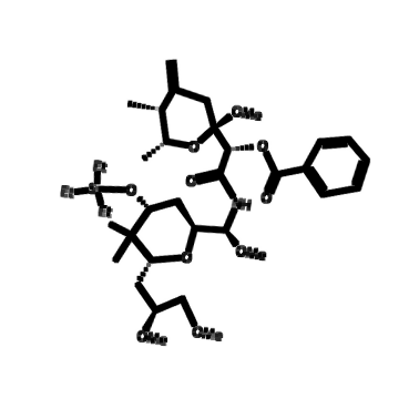 C=C1C[C@](OC)([C@H](OC(=O)c2ccccc2)C(=O)N[C@@H](OC)[C@@H]2C[C@@H](O[Si](CC)(CC)CC)C(C)(C)[C@@H](C[C@@H](COC)OC)O2)O[C@H](C)[C@@H]1C